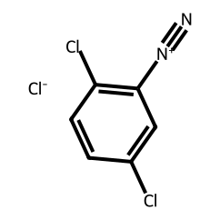 N#[N+]c1cc(Cl)ccc1Cl.[Cl-]